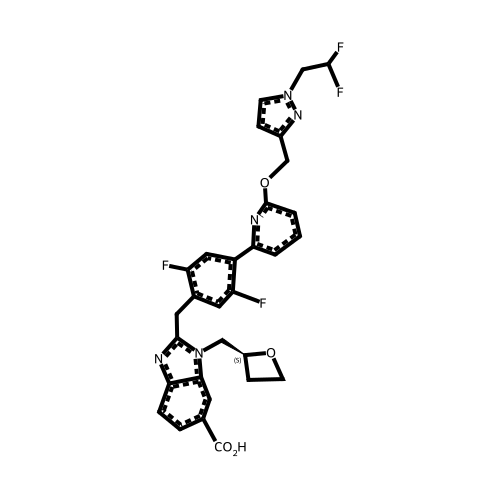 O=C(O)c1ccc2nc(Cc3cc(F)c(-c4cccc(OCc5ccn(CC(F)F)n5)n4)cc3F)n(C[C@@H]3CCO3)c2c1